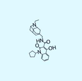 CCN1C2CC3CC1CC(CNC(=O)c1c(O)c4ccccc4n(C4CCCC4)c1=O)(C3)C2